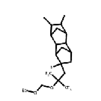 CCOCOC(CC1(F)CC2CC1C1C3CC(C(C)C3C)C21)(C(F)(F)F)C(F)(F)F